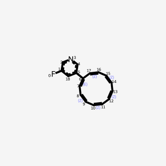 Fc1cncc(C2=C/C=C\C=C/C=C\C=C/C=C\2)c1